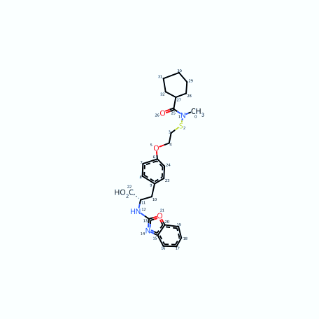 CN(SCCOc1ccc(C[C@H](Nc2nc3ccccc3o2)C(=O)O)cc1)C(=O)C1CCCCC1